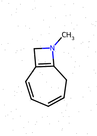 CN1CC2=C1CC=CC=C2